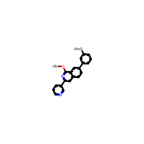 CCCCOc1nc(-c2cccnc2)cc2ccc(-c3cccc(OC)c3)cc12